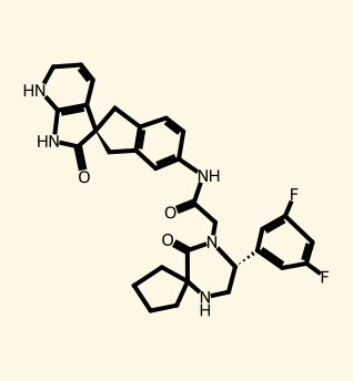 O=C(CN1C(=O)C2(CCCC2)NC[C@H]1c1cc(F)cc(F)c1)Nc1ccc2c(c1)C[C@@]1(C2)C(=O)NC2=C1C=CCN2